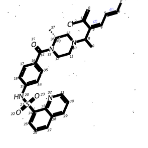 C=C(Cl)/C(=C\C=C\F)C(C)N1CCN(C(=O)c2ccc(NS(=O)(=O)c3cccc4cccnc34)cc2)[C@H](C)C1